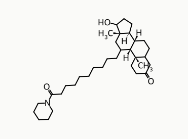 C[C@]12CCC(=O)CC1CC[C@@H]1[C@H]2C(CCCCCCCCCC(=O)N2CCCCC2)C[C@]2(C)C(O)CC[C@@H]12